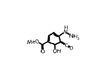 COC(=O)C1=CC=C(NN)C(=C=O)C1O